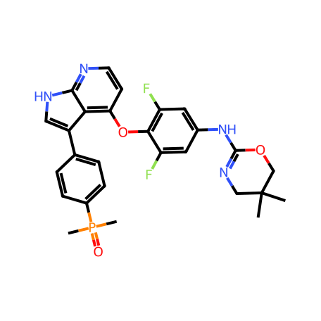 CC1(C)CN=C(Nc2cc(F)c(Oc3ccnc4[nH]cc(-c5ccc(P(C)(C)=O)cc5)c34)c(F)c2)OC1